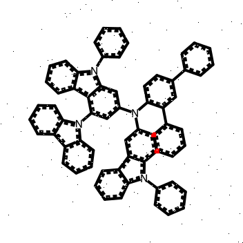 c1ccc(-c2ccc(N(c3ccc4c(c3)c3ccccc3n4-c3ccccc3)c3cc(-n4c5ccccc5c5ccccc54)c4c5ccccc5n(-c5ccccc5)c4c3)c(-c3ccccc3)c2)cc1